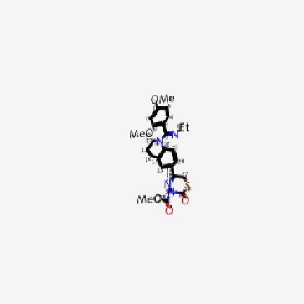 CCN=C(c1ccc(OC)cc1OC)N1CCCc2cc(C3=NN(C(=O)OC)C(=O)SC3)ccc21